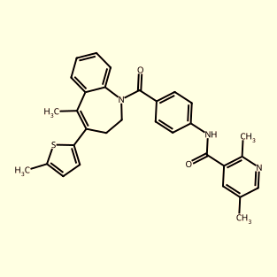 CC1=C(c2ccc(C)s2)CCN(C(=O)c2ccc(NC(=O)c3cc(C)cnc3C)cc2)c2ccccc21